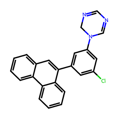 Clc1cc(-c2cc3ccccc3c3ccccc23)cc(N2C=NC=NC2)c1